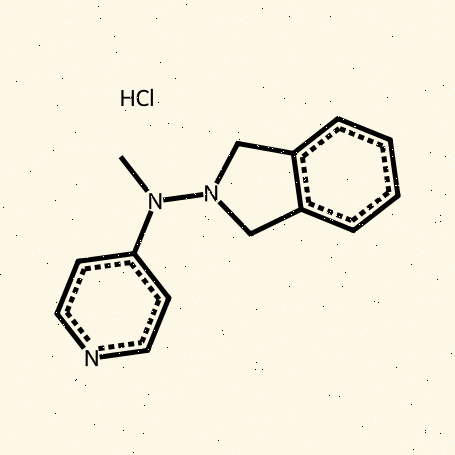 CN(c1ccncc1)N1Cc2ccccc2C1.Cl